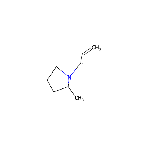 C=C[CH]N1CCCC1C